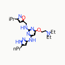 CCCc1cc(Nc2cc(OCCN(CC)CC)nc(NCc3cc(C(C)C)no3)n2)n[nH]1